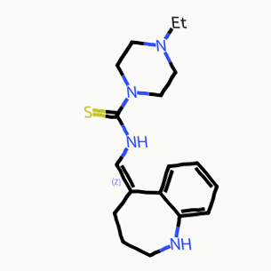 CCN1CCN(C(=S)N/C=C2/CCCNc3ccccc32)CC1